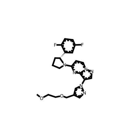 COCCOCc1cnn(-c2cnn3ccc(N4CCC[C@@H]4c4cc(F)ccc4F)nc23)c1